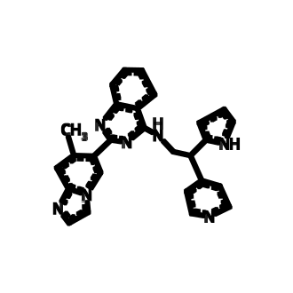 Cc1cc2nccn2cc1-c1nc(NCC(c2ccncc2)c2ccc[nH]2)c2ccccc2n1